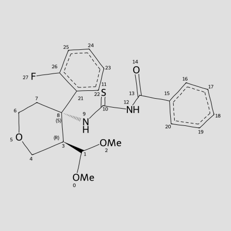 COC(OC)[C@H]1COCC[C@@]1(NC(=S)NC(=O)c1ccccc1)c1ccccc1F